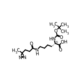 CC1(CCC(=O)NCCCC[C@H](NC(=O)OC(C)(C)C)C(=O)O)N=N1